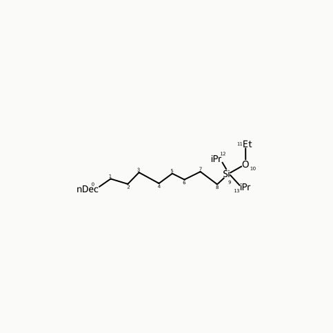 CCCCCCCCCCCCCCCCCC[Si](OCC)(C(C)C)C(C)C